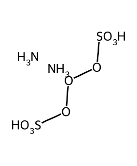 N.N.O=S(=O)(O)OOOS(=O)(=O)O